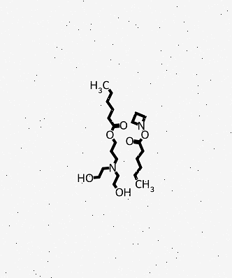 CCCCCC(=O)OCCCN(CCO)CCO.CCCCCC(=O)ON1CCC1